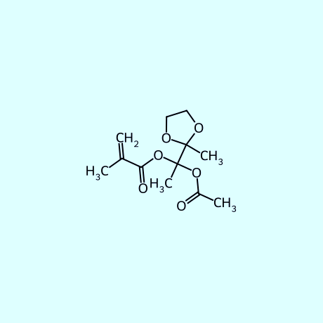 C=C(C)C(=O)OC(C)(OC(C)=O)C1(C)OCCO1